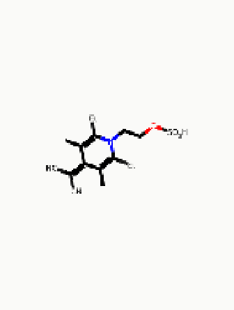 CCC1=C(C)C(=C(C#N)C#N)C(C)=C(CC)N1CCOS(=O)(=O)O